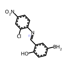 Bc1ccc(O)c(/C=N/c2ccc([N+](=O)[O-])cc2Cl)c1